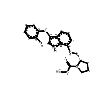 CC(C)(C)OC(=O)N1CCC[C@H]1COc1cccc2c(Sc3ccccc3F)c[nH]c12